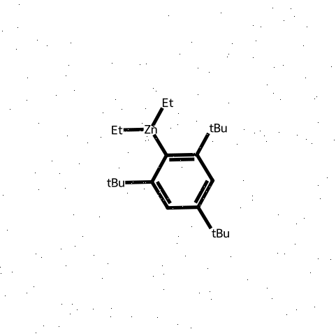 C[CH2][Zn]([CH2]C)[c]1c(C(C)(C)C)cc(C(C)(C)C)cc1C(C)(C)C